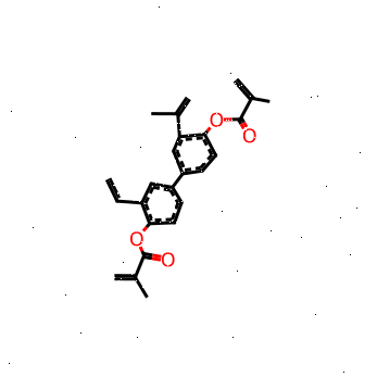 C=Cc1cc(-c2ccc(OC(=O)C(=C)C)c(C(=C)C)c2)ccc1OC(=O)C(=C)C